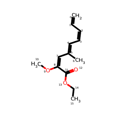 C=C\C=C/C=C(C)/C=C(/OC)C(=O)OCC